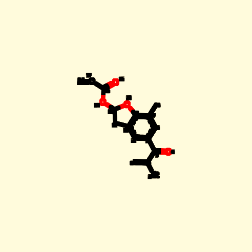 C=C(CC)C(=O)c1cc(C)c2c(c1)CC(OC(=O)OC)O2